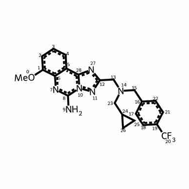 COc1cccc2c1nc(N)n1nc(CN(Cc3ccc(C(F)(F)F)cc3)CC3CC3)nc21